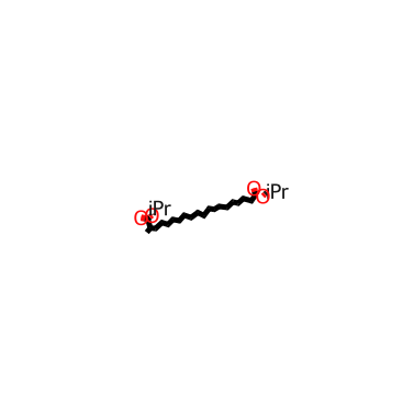 CC(C)OC(=O)CCCCCCCCCCCCCCCCCC(C)C(=O)OC(C)C